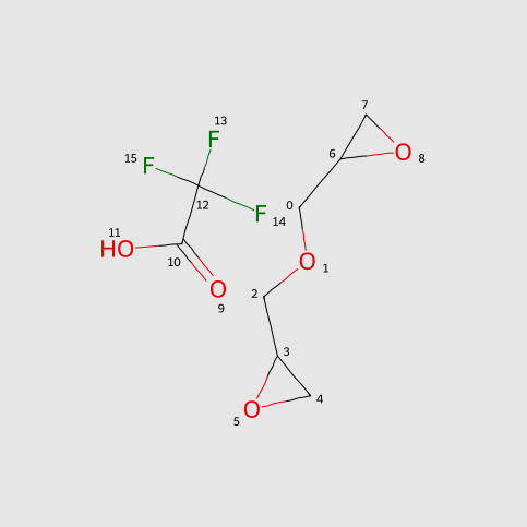 C(OCC1CO1)C1CO1.O=C(O)C(F)(F)F